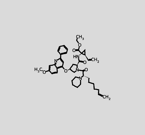 C=CCCCCC[C@@H](C(=O)N1C[C@H](Oc2cc(-c3ccccc3)nc3cc(OC)ccc23)C[C@H]1C(=O)N[C@]1(C(=O)OCC)C[C@H]1C=C)N1CCCCC1